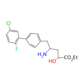 CCOC(=O)C(O)CC(N)Cc1ccc(-c2cc(Cl)ccc2F)cc1